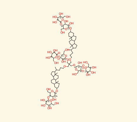 CC(CCCOCC(COCCCC(C)C1CCC2C3CCC4CC(O[C@@H]5OC(CO)[C@@H](O[C@H]6OC(CO)[C@@H](O)C(O)[C@@H]6O)C(O)[C@@H]5C)CCC4(C)C3CCC12C)(CO[C@H]1OC(CO)[C@H](O[C@@H]2OC(CO)[C@H](O)C(O)[C@H]2O)C(O)[C@H]1O)CO[C@@H]1OC(CO)[C@@H](O[C@H]2OC(CO)[C@@H](O)C(O)[C@@H]2O)C(O)[C@@H]1O)C1CCC2C3CCC4CC(O[C@H]5OC(CO)[C@H](O[C@@H]6OC(CO)[C@H](O)C(O)[C@H]6O)C(O)[C@H]5O)CCC4(C)C3CCC12C